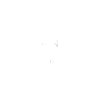 CC(C)C1(C)CCNC1=O